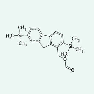 C[Si](C)(C)c1ccc2c(c1)Cc1c-2ccc([Si](C)(C)C)c1COC=O